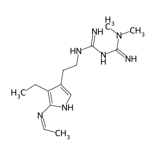 C/C=N\c1[nH]cc(CCNC(=N)NC(=N)N(C)C)c1CC